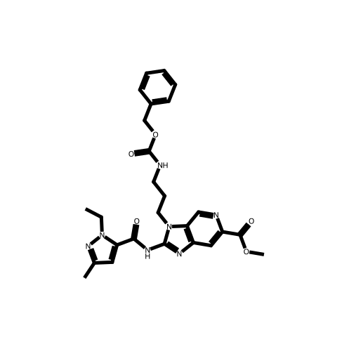 CCn1nc(C)cc1C(=O)Nc1nc2cc(C(=O)OC)ncc2n1CCCNC(=O)OCc1ccccc1